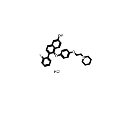 Cl.Oc1ccc2c(Oc3ccc(OCCN4CCCCC4)cc3)c(-c3ccccc3F)ccc2c1